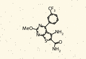 COc1nc(-c2cccc(C(F)(F)F)c2)c2c(N)c(C(N)=O)sc2n1